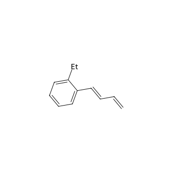 C=CC=Cc1ccccc1CC